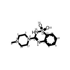 CN1CCN(C2=Nc3ccccc3S(=O)(=O)N2)CC1